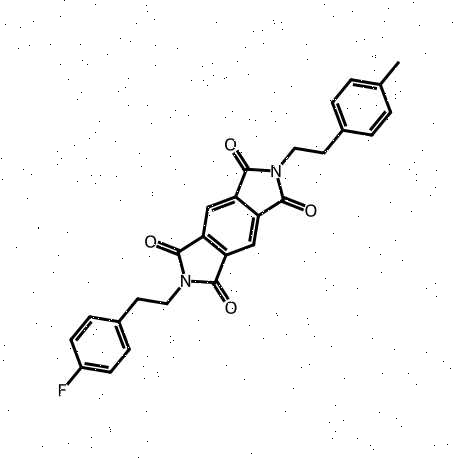 Cc1ccc(CCn2c(=O)c3cc4c(=O)n(CCc5ccc(F)cc5)c(=O)c4cc3c2=O)cc1